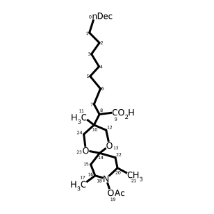 CCCCCCCCCCCCCCCCCC(C(=O)O)C1(C)COC2(CC(C)N(OC(C)=O)C(C)C2)OC1